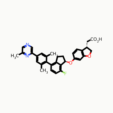 Cc1cncc(-c2cc(C)c(-c3ccc(F)c4c3CC[C@H]4Oc3ccc4c(c3)OC[C@H]4CC(=O)O)c(C)c2)n1